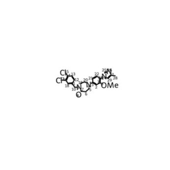 COc1cc(N2CCC(=O)N(Cc3ccc(Cl)c(Cl)c3)CC2)ccc1-n1cnc(C)c1